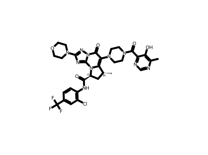 Cc1ncnc(C(=O)N2CCN(c3c4n(c5nc(N6CCOCC6)nn5c3=O)[C@H](C(=O)Nc3ccc(C(F)(F)F)cc3Cl)C[C@H]4C)CC2)c1O